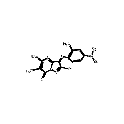 CCN(CC)c1ccc(N=C2C(C(C)C)=Nn3c2nc(C(C)(C)C)c(C)c3=O)c(C)c1